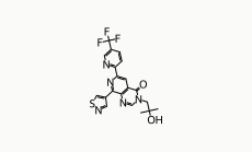 CC(C)(O)Cn1cnc2c(-c3cnsc3)nc(-c3ccc(C(F)(F)F)cn3)cc2c1=O